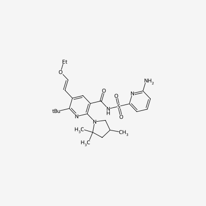 CCOC=Cc1cc(C(=O)NS(=O)(=O)c2cccc(N)n2)c(N2CC(C)CC2(C)C)nc1C(C)(C)C